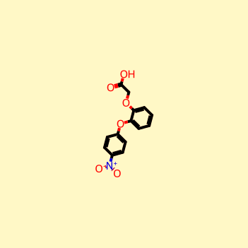 O=C(O)COc1ccccc1Oc1ccc([N+](=O)[O-])cc1